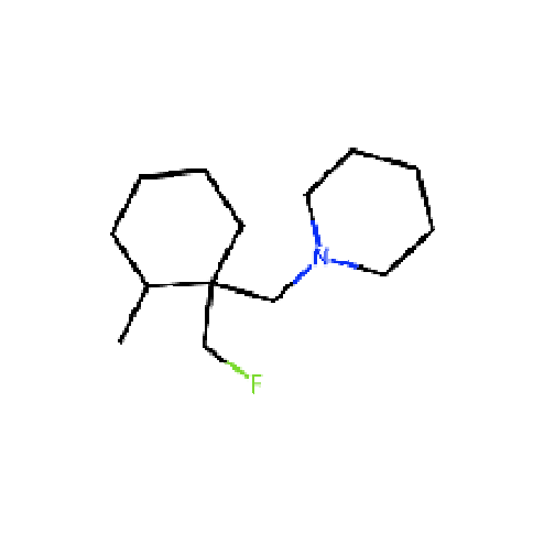 CC1CCCCC1(CF)CN1CCCCC1